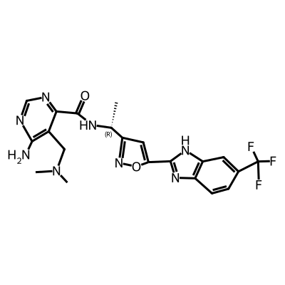 C[C@@H](NC(=O)c1ncnc(N)c1CN(C)C)c1cc(-c2nc3ccc(C(F)(F)F)cc3[nH]2)on1